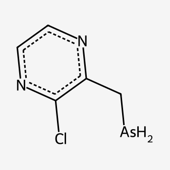 Clc1nccnc1C[AsH2]